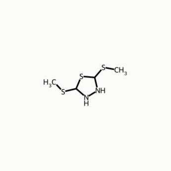 CSC1NNC(SC)S1